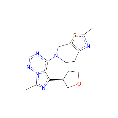 Cc1nc2c(s1)CN(c1ncnn3c(C)nc([C@H]4CCOC4)c13)CC2